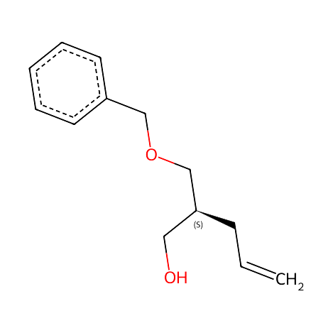 C=CC[C@@H](CO)COCc1ccccc1